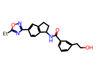 CCc1nc(-c2ccc3c(c2)CCC3NC(=O)c2cccc(CCO)c2)no1